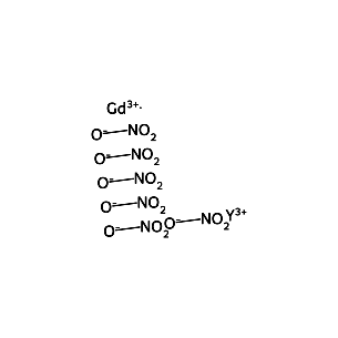 O=[N+]([O-])[O-].O=[N+]([O-])[O-].O=[N+]([O-])[O-].O=[N+]([O-])[O-].O=[N+]([O-])[O-].O=[N+]([O-])[O-].[Gd+3].[Y+3]